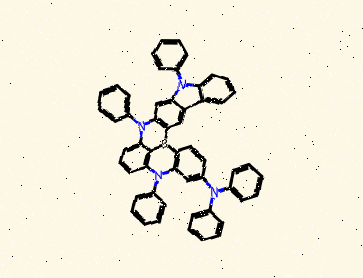 c1ccc(N(c2ccccc2)c2ccc3c(c2)N(c2ccccc2)c2cccc4c2B3c2cc3c5ccccc5n(-c5ccccc5)c3cc2N4c2ccccc2)cc1